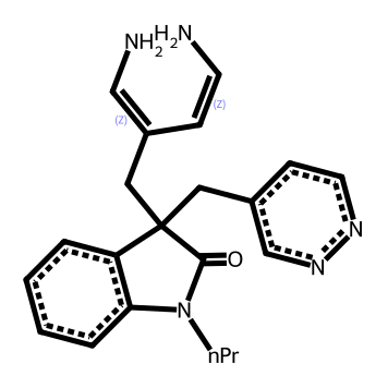 CCCN1C(=O)C(CC(/C=C\N)=C/N)(Cc2ccnnc2)c2ccccc21